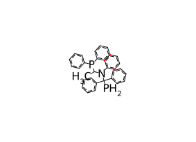 CC(N(c1ccccc1)C(P)(c1ccccc1)c1ccccc1)P(c1ccccc1)c1ccccc1